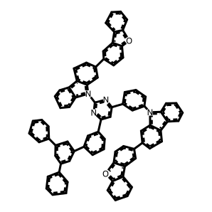 c1ccc(-c2cc(-c3ccccc3)cc(-c3cccc(-c4cc(-c5cccc(-n6c7ccccc7c7ccc(-c8ccc9oc%10ccccc%10c9c8)cc76)c5)nc(-n5c6ccccc6c6ccc(-c7ccc8oc9ccccc9c8c7)cc65)n4)c3)c2)cc1